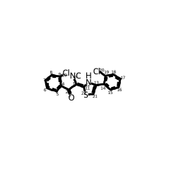 N#CC(C(=O)c1ccccc1Cl)=C1NC(c2ccccc2Cl)=CS1